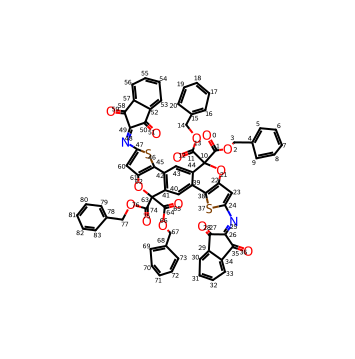 O=C(OCc1ccccc1)C1(C(=O)OCc2ccccc2)Oc2cc(N=c3c(=O)c4ccccc4c3=O)sc2-c2cc3c(cc21)-c1sc(N=c2c(=O)c4ccccc4c2=O)cc1OC3(C(=O)OCc1ccccc1)C(=O)OCc1ccccc1